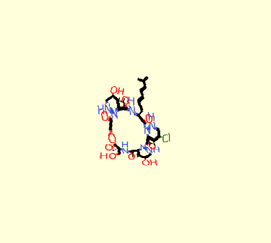 CC(C)/C=C/C=C/C[C@@H]1NC(=O)[C@H]2C[C@@H](O)CNN2C(=O)COC(=O)[C@](C)(CO)NC(=O)[C@@H]2C[C@H](O)CNN2C(=O)[C@H]2C[C@H](Cl)CNN2C1=O